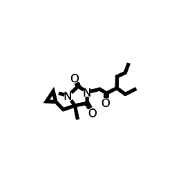 CCCC(CC)C(=O)CN1C(=O)N(C)C(C)(CC2CC2)C1=O